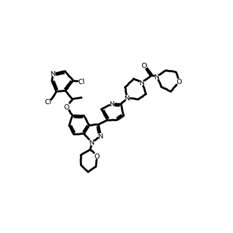 CC(Oc1ccc2c(c1)c(-c1ccc(N3CCN(C(=O)N4CCOCC4)CC3)nc1)nn2C1CCCCO1)c1c(Cl)cncc1Cl